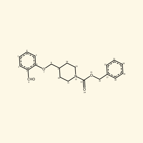 O=Cc1ccccc1OCC1CCN(C(=O)OCc2ccccc2)CC1